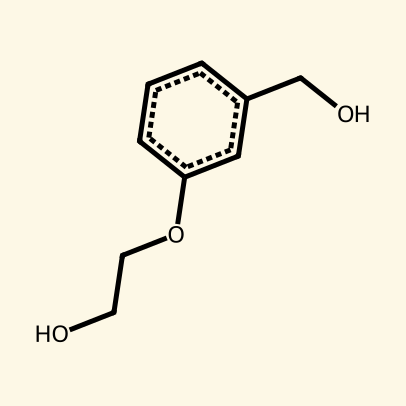 OCCOc1cccc(CO)c1